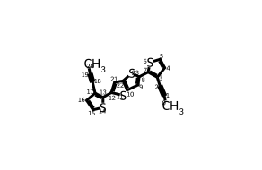 CC#Cc1ccsc1-c1cc2sc(-c3sccc3C#CC)cc2s1